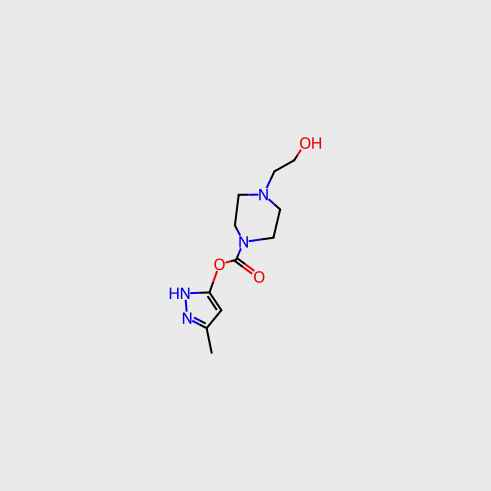 Cc1cc(OC(=O)N2CCN(CCO)CC2)[nH]n1